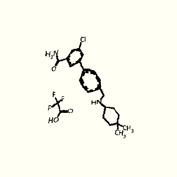 CC1(C)CCC(NCc2ccc(-c3cc(Cl)cc(C(N)=O)c3)cc2)CC1.O=C(O)C(F)(F)F